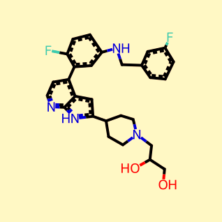 OCC(O)CN1CCC(c2cc3c(-c4cc(NCc5cccc(F)c5)ccc4F)ccnc3[nH]2)CC1